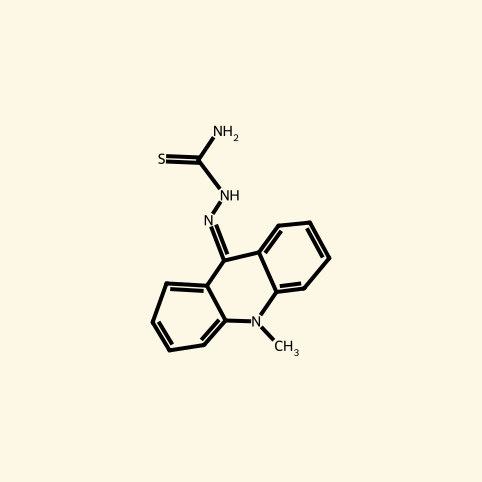 Cn1c2ccccc2c(=NNC(N)=S)c2ccccc21